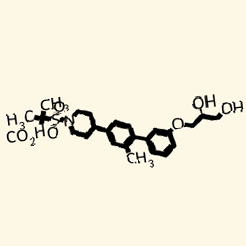 Cc1cc(C2CCN(S(=O)(=O)C(C)(C)C(=O)O)CC2)ccc1-c1cccc(OC[C@H](O)CO)c1